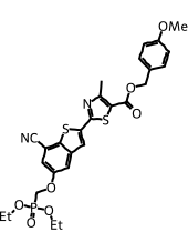 CCOP(=O)(COc1cc(C#N)c2sc(-c3nc(C)c(C(=O)OCc4ccc(OC)cc4)s3)cc2c1)OCC